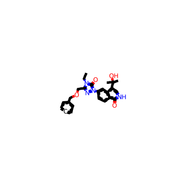 CCn1c(COCc2ccccc2)nn(-c2ccc3c(=O)[nH]cc(C(C)(C)O)c3c2)c1=O